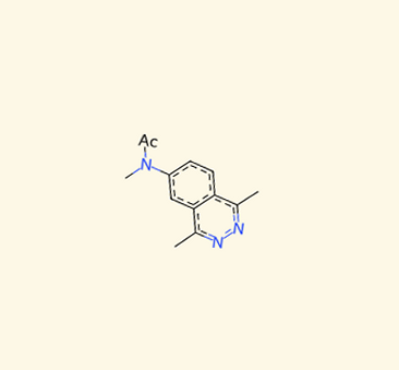 CC(=O)N(C)c1ccc2c(C)nnc(C)c2c1